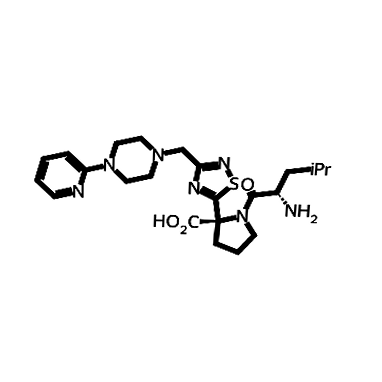 CC(C)C[C@H](N)C(=O)N1CCC[C@]1(C(=O)O)c1nc(CN2CCN(c3ccccn3)CC2)ns1